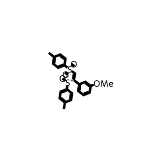 COc1cccc(C(=CS(=O)(=O)c2ccc(C)cc2)[S+]([O-])c2ccc(C)cc2)c1